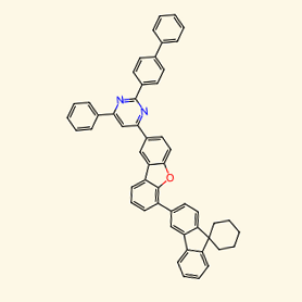 c1ccc(-c2ccc(-c3nc(-c4ccccc4)cc(-c4ccc5oc6c(-c7ccc8c(c7)-c7ccccc7C87CCCCC7)cccc6c5c4)n3)cc2)cc1